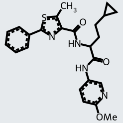 COc1ccc(NC(=O)C(CCC2CC2)NC(=O)c2nc(-c3ccccc3)sc2C)cn1